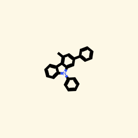 Cc1cc(-c2ccccc2)cc2c1c1ccccc1n2-c1ccccc1